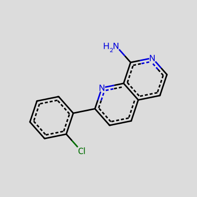 Nc1nccc2ccc(-c3ccccc3Cl)nc12